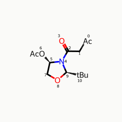 CC(=O)CC(=O)N1[C@H](OC(C)=O)CO[C@@H]1C(C)(C)C